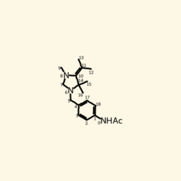 CC(=O)Nc1ccc(CN2CN(C)C(=C(C)C)C2(C)C)cc1